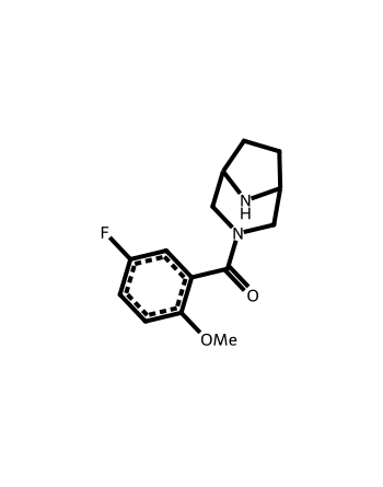 COc1ccc(F)cc1C(=O)N1CC2CCC(C1)N2